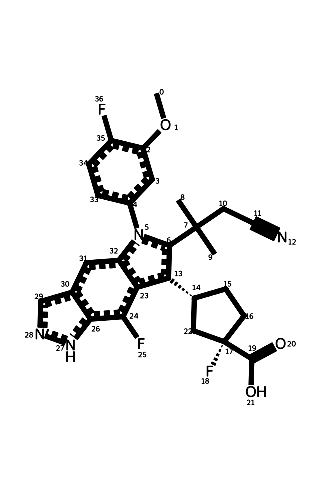 COc1cc(-n2c(C(C)(C)CC#N)c([C@@H]3CC[C@@](F)(C(=O)O)C3)c3c(F)c4[nH]ncc4cc32)ccc1F